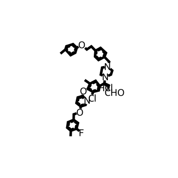 Cc1ccc(OCCc2ccc(CN3CCN(/C(=C/C=O)c4cc(C)c(Oc5ccc(OCc6ccc(C)c(F)c6)cn5)c(Cl)c4)CC3)cc2)cc1.Cl